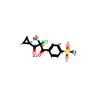 CCS(=O)(=O)c1ccc(C(=O)C(Cl)(C#N)C(=O)C2CC2)cc1